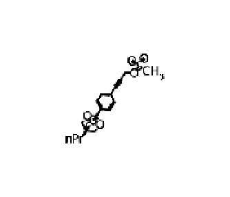 CCCC12COC(c3ccc(C#CCOS(C)(=O)=O)cc3)(OC1)OC2